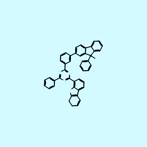 CC1(c2ccccc2)c2ccccc2-c2ccc(-c3cccc(-c4nc(-c5ccccc5)nc(-c5cccc6c7c(oc56)CCC=C7)n4)c3)cc21